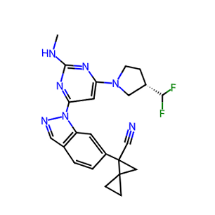 CNc1nc(N2CC[C@H](C(F)F)C2)cc(-n2ncc3ccc(C4(C#N)CC45CC5)cc32)n1